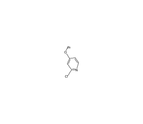 CC(C)Oc1ccnc(Cl)c1